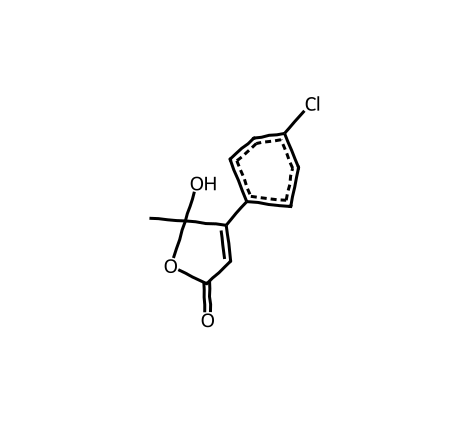 CC1(O)OC(=O)C=C1c1ccc(Cl)cc1